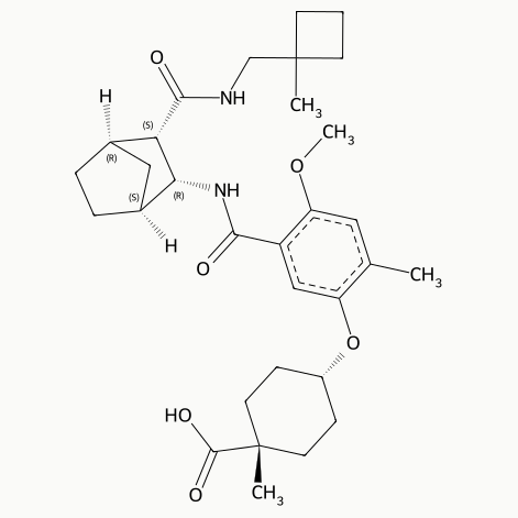 COc1cc(C)c(O[C@H]2CC[C@@](C)(C(=O)O)CC2)cc1C(=O)N[C@@H]1[C@H]2CC[C@H](C2)[C@@H]1C(=O)NCC1(C)CCC1